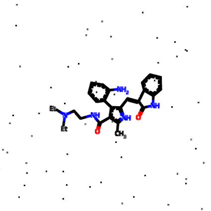 CCN(CC)CCNC(=O)c1c(C)[nH]c(C=C2C(=O)Nc3ccccc32)c1-c1ccccc1N